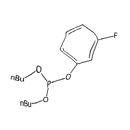 CCCCOP(OCCCC)Oc1cccc(F)c1